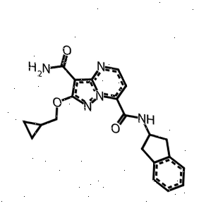 NC(=O)c1c(OCC2CC2)nn2c(C(=O)NC3Cc4ccccc4C3)ccnc12